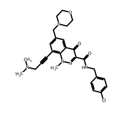 CN(C)CC#Cc1cc(CN2CCOCC2)cc2c(=O)c(C(=O)NCc3ccc(Cl)cc3)nn(C)c12